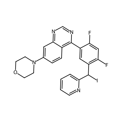 Fc1cc(F)c(C(I)c2ccccn2)cc1-c1ncnc2cc(N3CCOCC3)ccc12